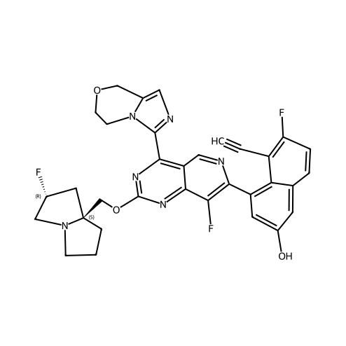 C#Cc1c(F)ccc2cc(O)cc(-c3ncc4c(-c5ncc6n5CCOC6)nc(OC[C@@]56CCCN5C[C@H](F)C6)nc4c3F)c12